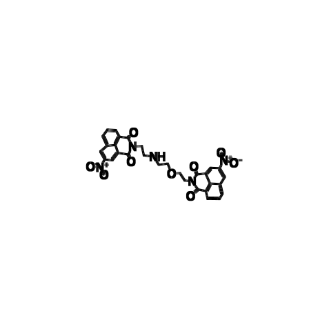 O=C1c2cccc3cc([N+](=O)[O-])cc(c23)C(=O)N1CCNCCOCCN1C(=O)c2cccc3cc([N+](=O)[O-])cc(c23)C1=O